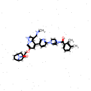 C=NCc1cnn2cc(OCCN3C4CCC3CC(=O)C4)cc(-c3ccc(N4CC5CC4CN5C(=O)c4cccc(C)c4C)nc3)c12